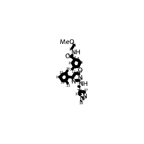 COCCNC(=O)c1ccc(Oc2cc(-c3c(C)cccc3C)nc(NSc3cnn(C)c3)n2)c(C)c1